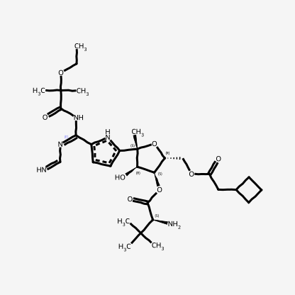 CCOC(C)(C)C(=O)N/C(=N/C=N)c1ccc([C@]2(C)O[C@H](COC(=O)CC3CCC3)[C@@H](OC(=O)[C@@H](N)C(C)(C)C)[C@H]2O)[nH]1